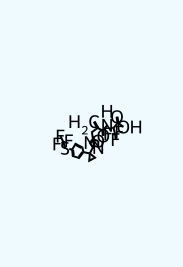 C=C(Cc1nc(C2(c3ccc(SC(F)(F)F)cc3)CC2)no1)C(=O)NC(C(=O)O)C(F)(F)F